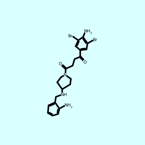 Nc1ccccc1CNC1CCN(C(=O)CCC(=O)c2cc(Br)c(N)c(Br)c2)CC1